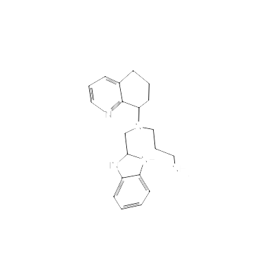 NCCCN(CC1Nc2ccccc2N1)C1CCCc2cccnc21